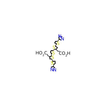 O=C(O)CCc1cc(-c2ccc(-c3cncnc3)s2)sc1-c1ccc(-c2sc(-c3ccc(-c4cncnc4)s3)cc2CCC(=O)O)s1